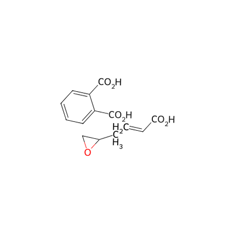 C=CC(=O)O.CC1CO1.O=C(O)c1ccccc1C(=O)O